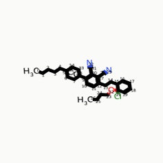 CCCCCC12CCC(c3ccc(CCC4C=CC=CC4(Cl)OCCCC)c(C#N)c3C#N)(CC1)CC2